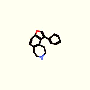 c1ccc(-c2coc3ccc4c(c23)CCNCC4)cc1